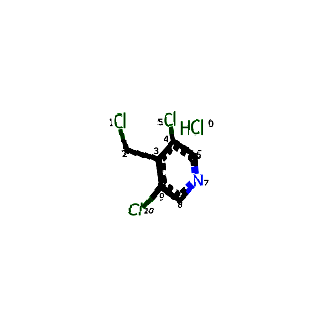 Cl.ClCc1c(Cl)cncc1Cl